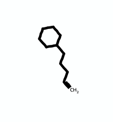 C=CCCC[C]1CCCCC1